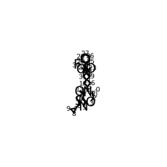 C[C@@H]1COc2nc(C3CC3)sc2C(=O)N1C1CC2(C1)CN(S(=O)(=O)c1ccccc1F)C2